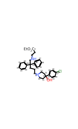 CCOC(=O)C[C]NCC(CCCN1CCC(O)(c2ccc(Cl)cc2)CC1)(c1ccccc1)c1ccccc1